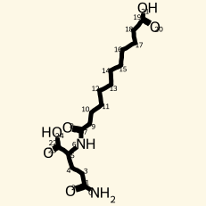 NC(=O)CCC(NC(=O)CCCCCCCCCCC(=O)O)C(=O)O